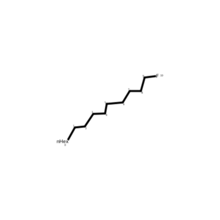 CCCCCCCCCCCCCC[CH]F